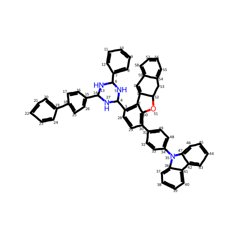 C1=C2c3c(C4NC(c5ccccc5)NC(c5ccc(-c6ccccc6)cc5)N4)ccc(-c4ccc(-n5c6ccccc6c6ccccc65)cc4)c3OC2Cc2ccccc21